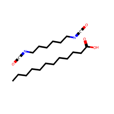 CCCCCCCCCCCC(=O)O.O=C=NCCCCCCN=C=O